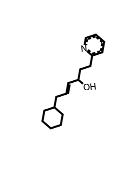 OC(C=CCC1CCCCC1)CCc1ccccn1